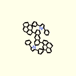 C1=CC2C=Cc3c(-c4cc(-n5c(-c6ccccc6)ccc5-c5ccccc5)cc5cc6c(-c7ccc8c9c%10c(ccc79)C=CCC%10=CC8)cc(-n7c(-c8ccccc8)ccc7-c7ccccc7)cc6cc45)ccc4c3C2C(=C1)C=C4